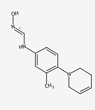 Cc1cc(N/C=N/O)ccc1N1CC=CCC1